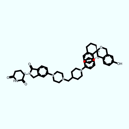 O=C1CC[C@H](N2Cc3cc(N4CCN(CC5CCN(c6ccc([C@H]7c8ccc(O)cc8CO[C@]78CCCc7ccccc78)cc6)CC5)CC4)ccc3C2=O)C(=O)N1